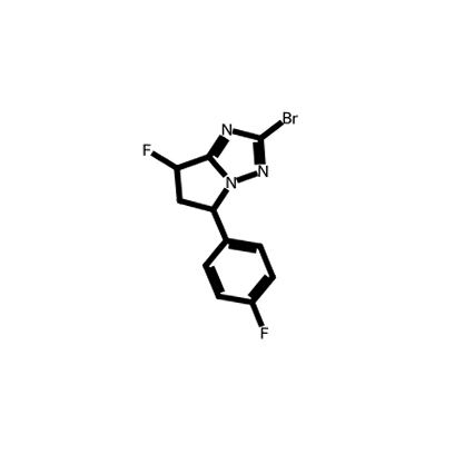 Fc1ccc(C2CC(F)c3nc(Br)nn32)cc1